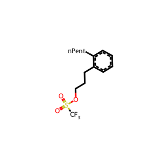 CCCCCc1ccccc1CCCOS(=O)(=O)C(F)(F)F